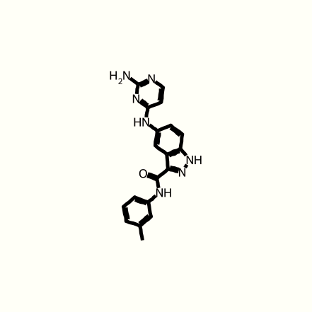 Cc1cccc(NC(=O)c2n[nH]c3ccc(Nc4ccnc(N)n4)cc23)c1